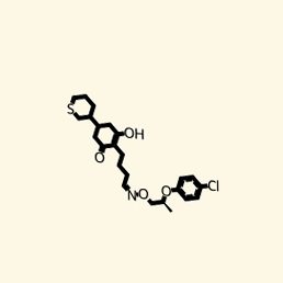 C[C@@H](CO/N=C\CCCC1=C(O)CC(C2CCCSC2)CC1=O)Oc1ccc(Cl)cc1